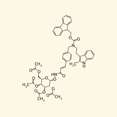 CC(=O)OC[C@H]1O[C@@H](ONC(=O)/C=C/c2ccc(CN(CCc3c(C)[nH]c4ccccc34)C(=O)OCC3c4ccccc4-c4ccccc43)cc2)[C@H](OC(C)=O)[C@@H](OC(C)=O)[C@H]1OC(C)=O